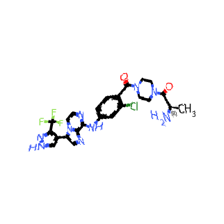 C[C@@H](N)C(=O)N1CCN(C(=O)c2ccc(Nc3nccn4c(-c5c[nH]nc5C(F)(F)F)cnc34)cc2Cl)CC1